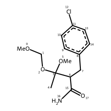 COCOC(C)(OC)C(Cc1ccc(Cl)cc1)C(N)=O